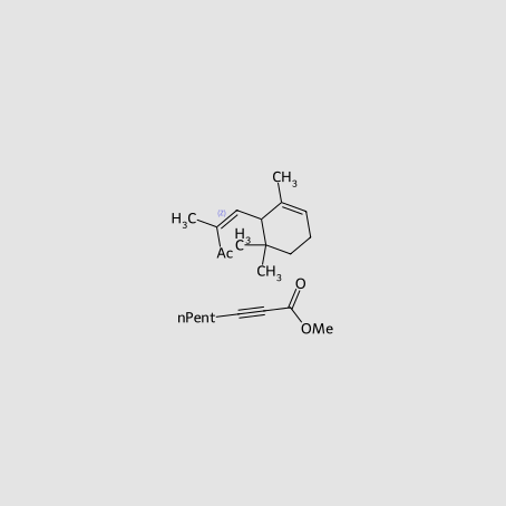 CC(=O)/C(C)=C\C1C(C)=CCCC1(C)C.CCCCCC#CC(=O)OC